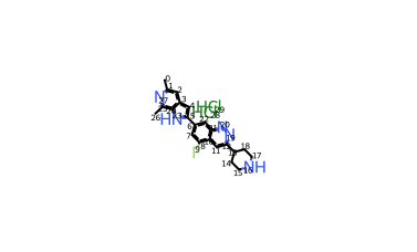 Cc1cc2cc(-c3cc(F)c4cc(C5CCNCC5)nnc4c3)[nH]c2c(C)n1.Cl.Cl